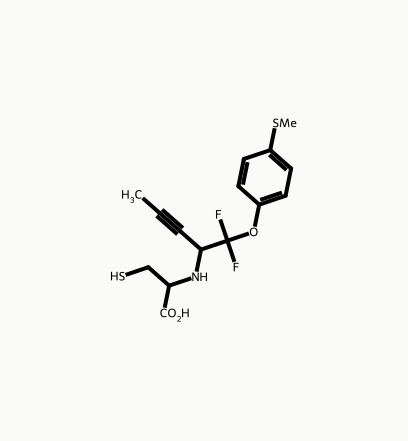 CC#CC(NC(CS)C(=O)O)C(F)(F)Oc1ccc(SC)cc1